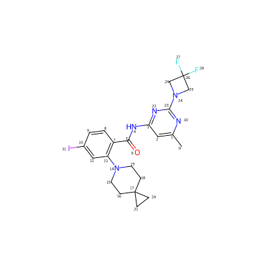 Cc1cc(NC(=O)c2ccc(I)cc2N2CCC3(CC2)CC3)nc(N2CC(F)(F)C2)n1